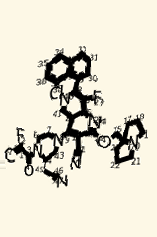 C=C(F)C(=O)N1CCN(C2=C(C#N)C(OCC34CCCN3CCC4)=NC3C(F)=C(c4cccc5cccc(Cl)c45)N=CC23)C[C@@H]1CC#N